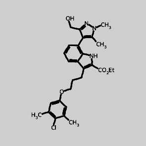 CCOC(=O)c1[nH]c2c(-c3c(CO)nn(C)c3C)cccc2c1CCCOc1cc(C)c(Cl)c(C)c1